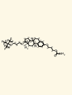 C[C@]12CC[C@@H]3c4ccc(OCCCOC(N)=O)cc4CC[C@H]3[C@@H]1CC[C@@H]2OCCCOC(C(F)(F)F)(C(F)(F)F)C(F)(F)F